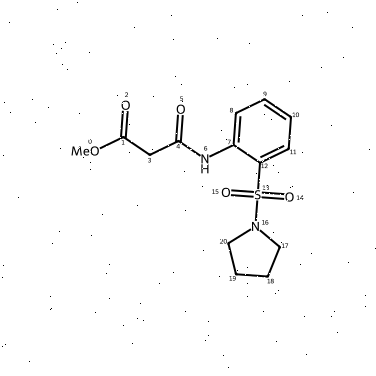 COC(=O)CC(=O)Nc1ccccc1S(=O)(=O)N1CCCC1